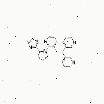 c1cncc(C(Cc2cccnc2N2CCCC2c2nccs2)c2cccnc2)c1